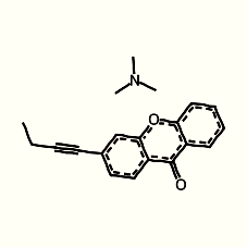 CCC#Cc1ccc2c(=O)c3ccccc3oc2c1.CN(C)C